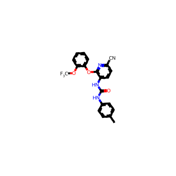 Cc1ccc(NC(=O)Nc2ccc(C#N)nc2Oc2ccccc2OC(F)(F)F)cc1